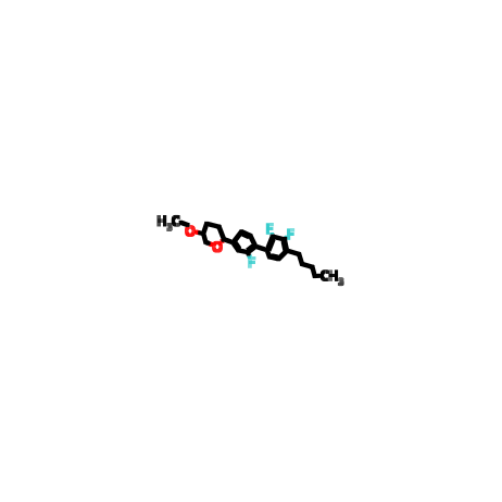 CCCCCc1ccc(-c2ccc(C3CCC(OCC)CO3)cc2F)c(F)c1F